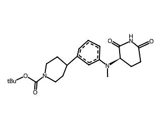 CN(c1cccc(C2CCN(C(=O)OC(C)(C)C)CC2)c1)[C@@H]1CCC(=O)NC1=O